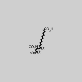 CCCCC(CC)CC(CC(CC)CCCCCCCCCCCC(=O)O)C(=O)O